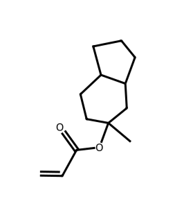 C=CC(=O)OC1(C)CCC2CCCC2C1